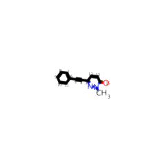 Cn1nc(C#Cc2ccccc2)ccc1=O